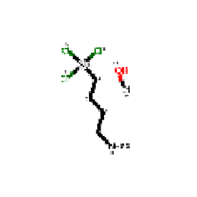 CCCCCCCCCC[Si](Cl)(Cl)Cl.CCO